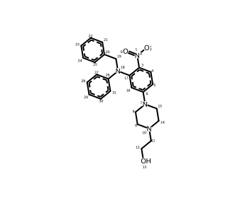 O=[N+]([O-])c1ccc(N2CCN(CCO)CC2)cc1N(Cc1ccccc1)c1ccccc1